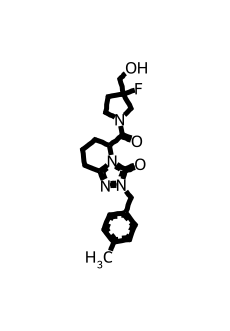 Cc1ccc(Cn2nc3n(c2=O)C(C(=O)N2CCC(F)(CO)C2)CCC3)cc1